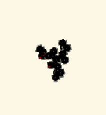 c1ccc2c(c1)oc1c(-c3ccc4c(c3)c3ccccc3n4-c3cc(-n4c5ccccc5c5cc(-c6cccc7c6oc6ccccc67)ccc54)nc(-n4c5ccccc5c5cc(-c6cccc7c6oc6ccccc67)ccc54)n3)cccc12